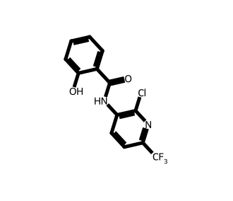 O=C(Nc1ccc(C(F)(F)F)nc1Cl)c1ccccc1O